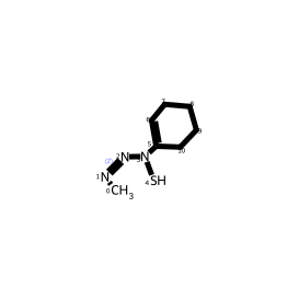 C/N=N\N(S)C1=CCCCC1